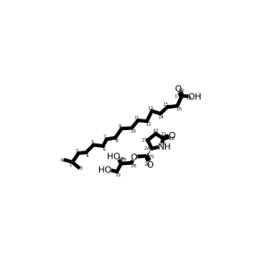 CC(C)CCCCCCCCCCCCCCC(=O)O.O=C1CC[C@@H](C(=O)OCC(O)CO)N1